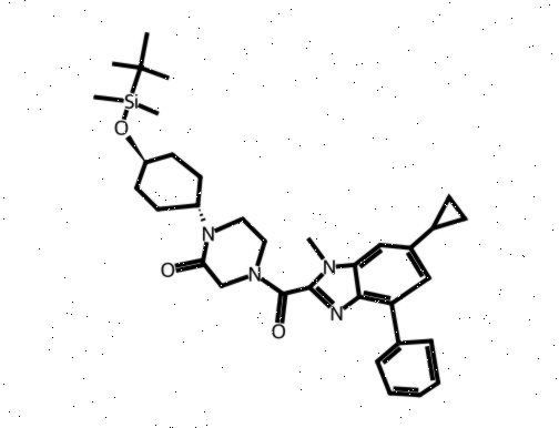 Cn1c(C(=O)N2CCN([C@H]3CC[C@H](O[Si](C)(C)C(C)(C)C)CC3)C(=O)C2)nc2c(-c3ccccc3)cc(C3CC3)cc21